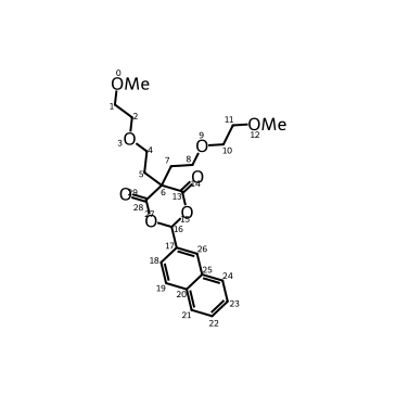 COCCOCCC1(CCOCCOC)C(=O)OC(c2ccc3ccccc3c2)OC1=O